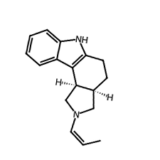 C/C=C\N1C[C@@H]2CCc3[nH]c4ccccc4c3[C@@H]2C1